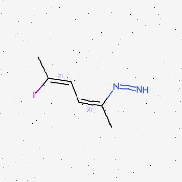 C/C(I)=C/C=C(/C)N=N